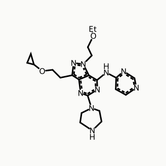 CCOCCn1nc(CCOC2CC2)c2nc(N3CCNCC3)nc(Nc3ccncn3)c21